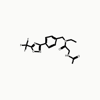 CCN(Cc1ccc(-c2noc(C(F)(F)F)n2)cc1)C(=O)CNC(C)=O